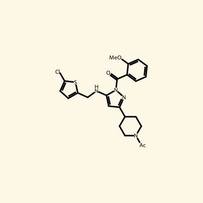 COc1ccccc1C(=O)n1nc(C2CCN(C(C)=O)CC2)cc1NCc1ccc(Cl)s1